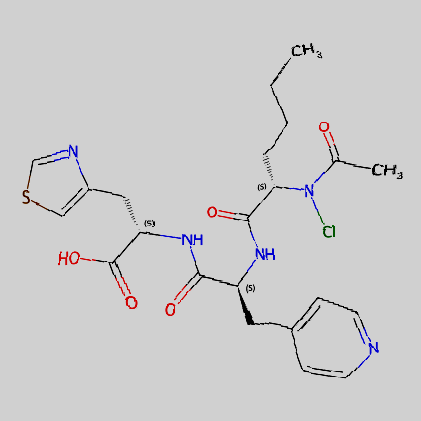 CCCC[C@@H](C(=O)N[C@@H](Cc1ccncc1)C(=O)N[C@@H](Cc1cscn1)C(=O)O)N(Cl)C(C)=O